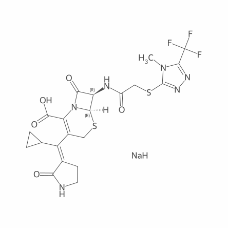 Cn1c(SCC(=O)N[C@@H]2C(=O)N3C(C(=O)O)=C(C(=C4CCNC4=O)C4CC4)CS[C@H]23)nnc1C(F)(F)F.[NaH]